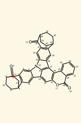 O=C1c2cc3c(cc2C2CCC1CC2)c1cc2oc(=O)c4ccccc4c2c2c4cc5c(cc4n3c12)C(=O)C1CCC5CC1